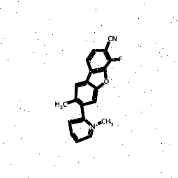 Cc1cc2c(cc1-c1cccc[n+]1C)oc1c(F)c(C#N)ccc12